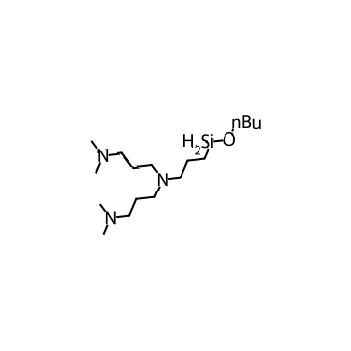 CCCCO[SiH2]CCCN(CCCN(C)C)CCCN(C)C